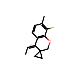 C/C=C1/c2ccc(C)c(F)c2OCC12CC2